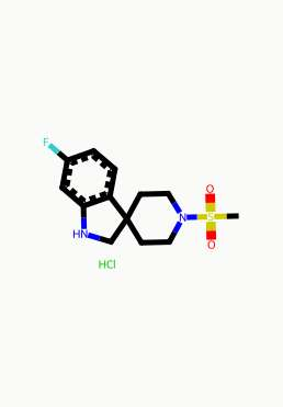 CS(=O)(=O)N1CCC2(CC1)CNc1cc(F)ccc12.Cl